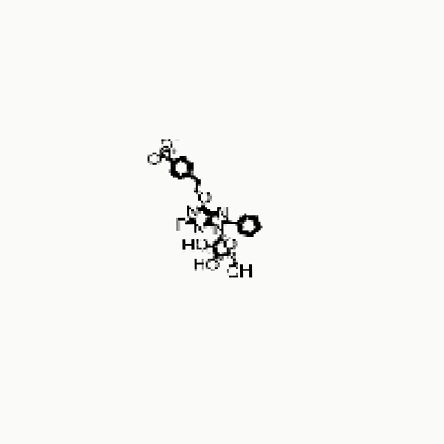 O=[N+]([O-])c1ccc(CCOc2nc(F)nc3c2nc(-c2ccccc2)n3[C@@H]2O[C@H](CO)[C@@H](O)[C@H]2O)cc1